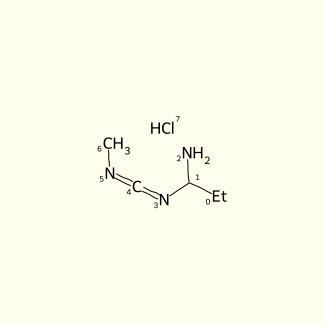 CCC(N)N=C=NC.Cl